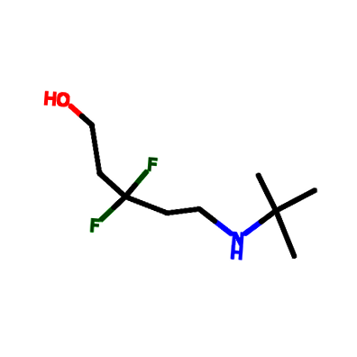 CC(C)(C)NCCC(F)(F)CCO